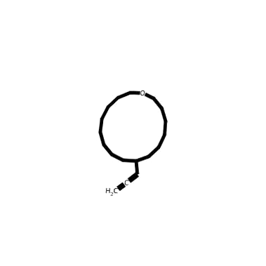 C=C=CC1CCCCCCCCOCCCCCC1